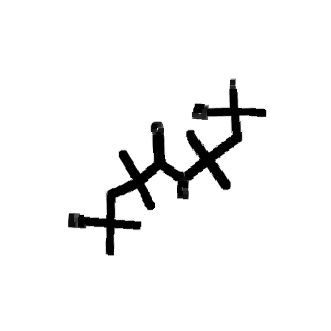 CCC(C)(C)CC(C)(C)C(=O)NC(C)(C)CC(C)(I)CC